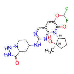 C[C@@]1(O)CCC[C@H]1n1c(=O)c(OC(F)F)cc2cnc(NC3CCN4NNC(=O)C4C3)nc21